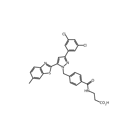 Cc1ccc2nc(-c3cc(-c4cc(Cl)cc(Cl)c4)nn3Cc3ccc(C(=O)NCCC(=O)O)cc3)sc2c1